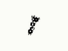 O=C(CC1CCC(F)(F)CC1)N1CCN(Cc2ccc(F)cc2C(F)(F)F)CC1